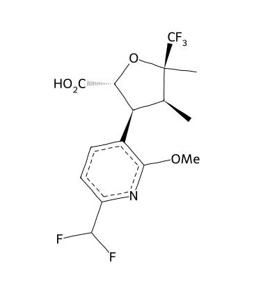 COc1nc(C(F)F)ccc1[C@H]1[C@H](C(=O)O)O[C@@](C)(C(F)(F)F)[C@H]1C